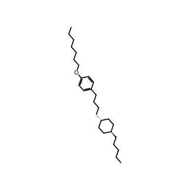 CCCCCCCOc1ccc(CCCC[C@H]2CC[C@H](CCCCC)CC2)cc1